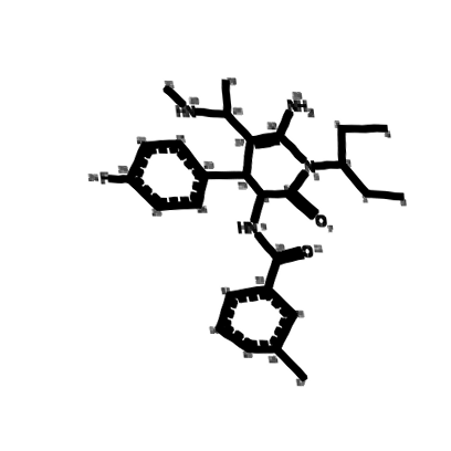 CCC(CC)N1C(=O)C(NC(=O)c2cccc(C)c2)C(c2ccc(F)cc2)C(C(C)NC)=C1N